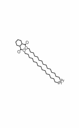 CC(C)CCCCCCCCCCCCCCCOC(=O)C1CCCCC1C(=O)OCCCCCCCCCCCCCCCC(C)C